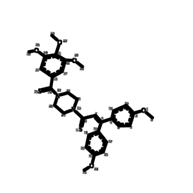 COc1ccc(C(=CC(=S)N2CCN(C(=S)c3cc(OC)c(OC)c(OC)c3)CC2)c2ccc(OC)cc2)cc1